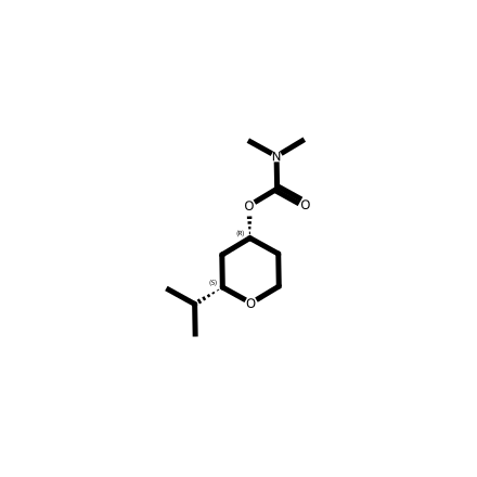 CC(C)[C@@H]1C[C@H](OC(=O)N(C)C)CCO1